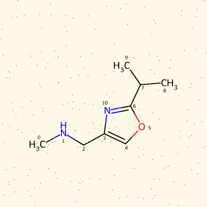 CNCc1coc(C(C)C)n1